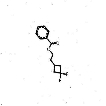 O=C(OCCC1CC(F)(F)C1)c1ccccc1